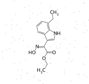 CCOC(=O)C(=NO)c1c[nH]c2c(CC)cccc12